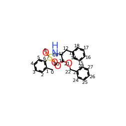 Cc1ccccc1S(=O)(=O)NC(Cc1ccccc1)C(=O)OCc1ccccc1